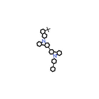 CC(C)(C)c1cccc2cc(-n3c4ccccc4c4cc(-c5ccc6c(c5)c5ccccc5n6-c5ccc(-c6ccccc6)cc5)ccc43)ccc12